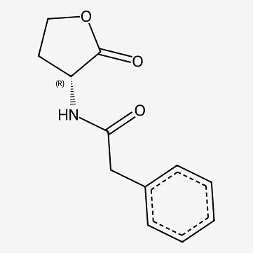 O=C(Cc1ccccc1)N[C@@H]1CCOC1=O